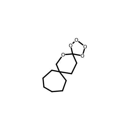 C1CCCC2(CC1)CCC1(OC2)OOOO1